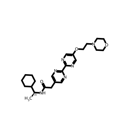 C[C@H](NC(=O)Cc1cnc(-c2ncc(OCCN3CCOCC3)cn2)nc1)C1CCCCC1